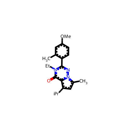 CCn1c(-c2ccc(OC)cc2C)nn2c(C)cc(C(C)C)c2c1=O